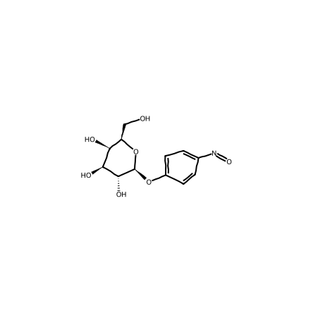 O=Nc1ccc(O[C@@H]2O[C@H](CO)[C@H](O)[C@H](O)[C@H]2O)cc1